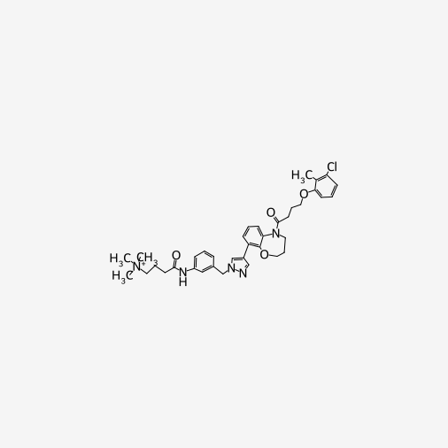 Cc1c(Cl)cccc1OCCCC(=O)N1CCCOc2c(-c3cnn(Cc4cccc(NC(=O)CCC[N+](C)(C)C)c4)c3)cccc21